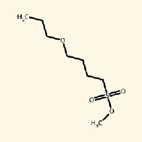 [CH2]CCOCCCCS(=O)(=O)OC